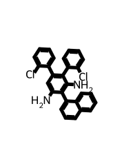 Nc1cc(-c2ccccc2Cl)c(-c2ccccc2Cl)c(N)c1-c1cccc2ccccc12